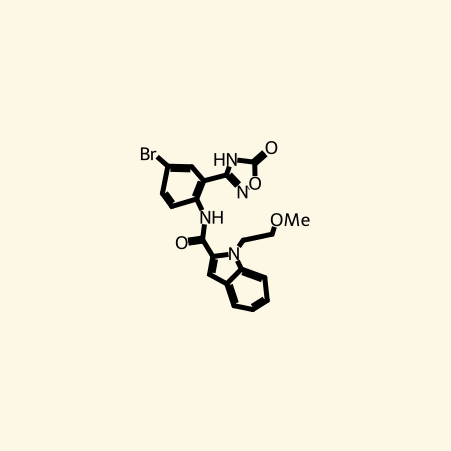 COCCn1c(C(=O)Nc2ccc(Br)cc2-c2noc(=O)[nH]2)cc2ccccc21